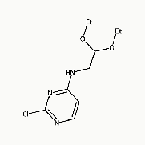 CCOC(CNc1ccnc(Cl)n1)OCC